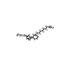 CCCC(C)c1cnn(C2CCCN(CCCCCCCC(C)CC)C2)c1